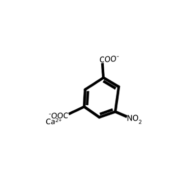 O=C([O-])c1cc(C(=O)[O-])cc([N+](=O)[O-])c1.[Ca+2]